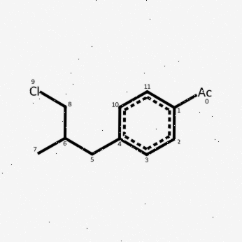 CC(=O)c1ccc(CC(C)CCl)cc1